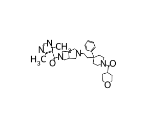 Cc1ncnc(C)c1C(=O)N1CC2CN(CCC3(c4ccccc4)CCN(C(=O)C4CCOCC4)CC3)CC2C1